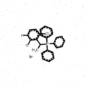 CC(c1c(Cl)ccc(F)c1Cl)[P+](c1ccccc1)(c1ccccc1)c1ccccc1.[Br-]